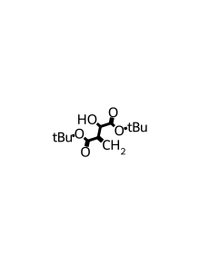 C=C(C(=O)OC(C)(C)C)C(O)C(=O)OC(C)(C)C